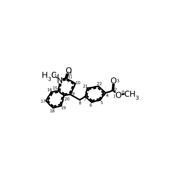 COC(=O)c1ccc(Cc2cc(=O)n(C)c3ccccc23)cc1